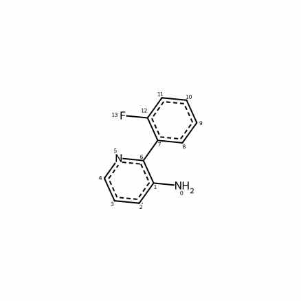 Nc1[c]ccnc1-c1ccccc1F